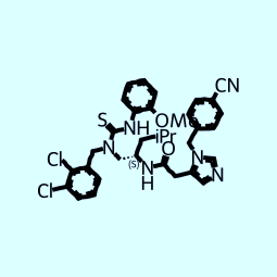 COc1ccccc1NC(=S)N(Cc1cccc(Cl)c1Cl)C[C@H](CC(C)C)NC(=O)Cc1cncn1Cc1ccc(C#N)cc1